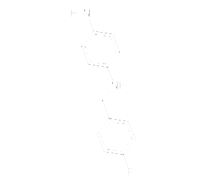 Nc1ccc(NCc2ccc(F)cc2)cc1